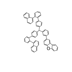 c1cc(-c2ccc3oc4ccccc4c3c2)cc(C(c2ccc(-c3ccccc3-c3cccc4ccccc34)cc2)c2ccc(-c3ccccc3-c3cccc4ccccc34)cc2)c1